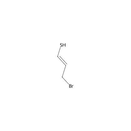 SC=CCBr